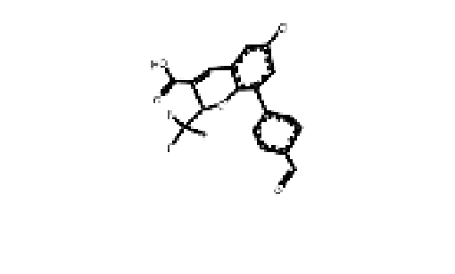 O=Cc1ccc(-c2cc(Cl)cc3c2OC(C(F)(F)F)C(C(=O)O)=C3)cc1